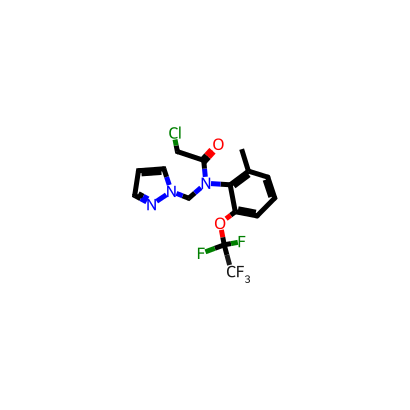 Cc1cccc(OC(F)(F)C(F)(F)F)c1N(Cn1cccn1)C(=O)CCl